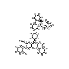 C#Cc1cc(N(c2ccc(-c3ccc4c(c3)C3(NCC5CC6CC5CC3C6)c3ccccc3-4)cc2)c2ccc3ccccc3c2)ccc1-c1ccccc1C